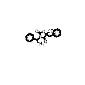 C[C@H](c1ccccc1)N1C(=O)OC(Cc2ccccc2)(C(=O)O)C1=O